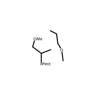 CCCCCC(C)COC.CCCOC